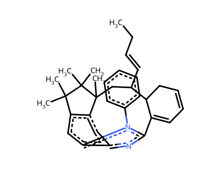 CCC=CC1CC2(C)c3cc4nc(n(-c5ccccc5)c4cc3C(C)(C)C2(C)C)C2=CC=CCC21